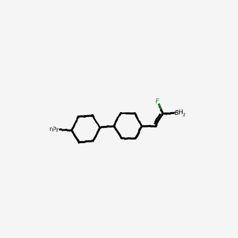 B/C(F)=C/C1CCC(C2CCC(CCC)CC2)CC1